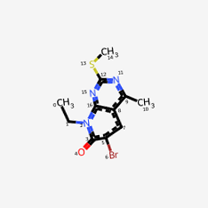 CCn1c(=O)c(Br)cc2c(C)nc(SC)nc21